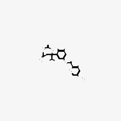 Cc1cc(C#N)cnc1C(=O)Nc1cc(F)c(C)c([C@](NC(N)=O)(C(F)F)[C@H]2C[C@H]2N)c1